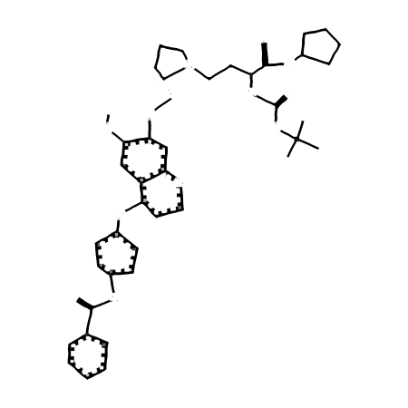 COc1cc2c(Oc3ccc(NC(=O)c4ccccc4)cc3)ccnc2cc1OC[C@@H]1CCCN1CCC(NC(=O)OC(C)(C)C)C(=O)OC1CCCC1